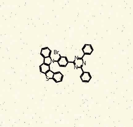 Brc1cc(-c2nc(-c3ccccc3)nc(-c3ccccc3)n2)ccc1-n1c2ccccc2c2ccc3sc4ccccc4c3c21